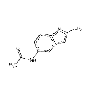 CC(=O)Nc1ccc2nc(C)cn2c1